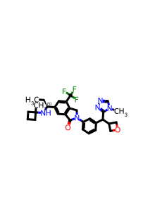 CC[C@H](NC1(C)CCC1)c1cc2c(c(C(F)(F)F)c1)CN(c1cccc(C(c3nncn3C)C3COC3)c1)C2=O